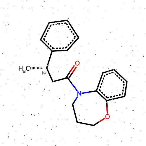 C[C@@H](CC(=O)N1CCCOc2ccccc21)c1ccccc1